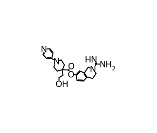 N=C(N)N1CCc2ccc(OC(=O)C3(CCO)CCN(c4ccncc4)CC3)cc2C1